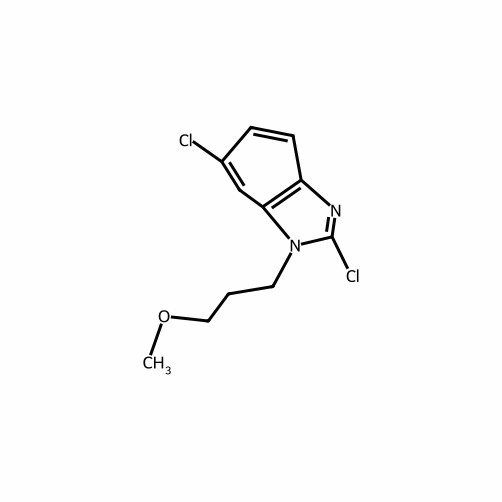 COCCCn1c(Cl)nc2ccc(Cl)cc21